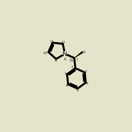 C[C@@H](c1ccccc1)N1CC=CC1